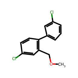 COCc1cc(Cl)ccc1-c1cccc(Cl)c1